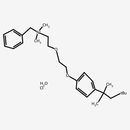 CC(C)(C)CC(C)(C)c1ccc(OCCOCC[N+](C)(C)Cc2ccccc2)cc1.O.[Cl-]